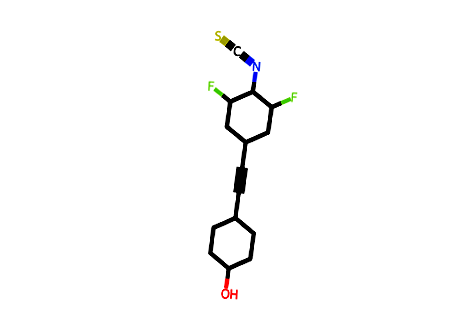 OC1CCC(C#CC2CC(F)C(N=C=S)C(F)C2)CC1